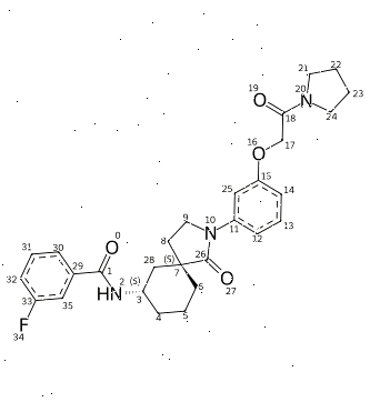 O=C(N[C@H]1CCC[C@]2(CCN(c3cccc(OCC(=O)N4CCCC4)c3)C2=O)C1)c1cccc(F)c1